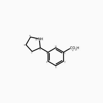 O=C(O)c1cccc(C2CCCN2)c1